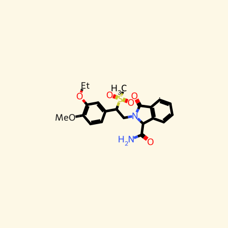 CCOc1cc(C(CN2C(=O)c3[c]cccc3C2C(N)=O)S(C)(=O)=O)ccc1OC